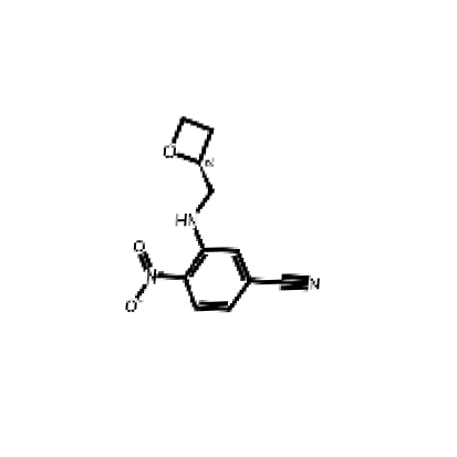 N#Cc1ccc([N+](=O)[O-])c(NC[C@@H]2CCO2)c1